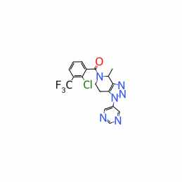 CC1c2nnn(-c3cncnc3)c2CCN1C(=O)c1cccc(C(F)(F)F)c1Cl